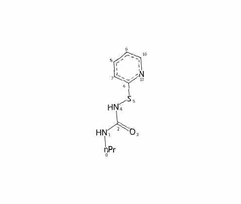 CCCNC(=O)NSc1ccccn1